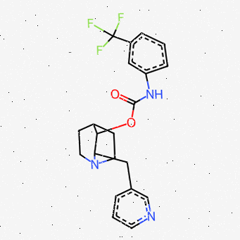 O=C(Nc1cccc(C(F)(F)F)c1)OC1C2CCN(CC2)C1Cc1cccnc1